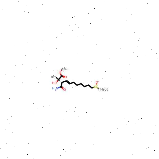 CCCCCCC[S+]([O-])CCCCCC/C=C/[C@H](C(N)=O)C(O)(CCC)C(=O)OC(C)(C)C